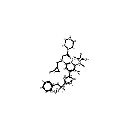 CC1CC1CN(CC(=O)N1CCOCC1)c1cc(-c2nnc([C@](C)(N)Cc3ccccc3)o2)c(Cl)c(N(C)S(C)(=O)=O)n1